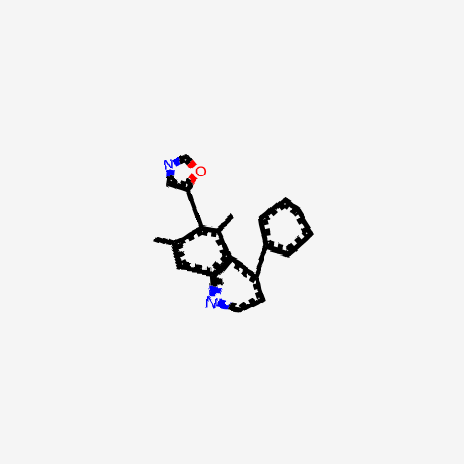 Cc1cc2nccc(-c3ccccc3)c2c(C)c1-c1cnco1